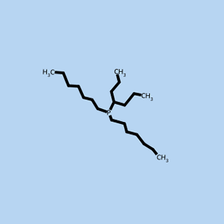 CCCCCCCP(CCCCCCC)C(CCC)CCC